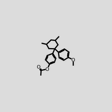 COc1ccc(C2(c3ccc(OC(C)=O)cc3)CC(C)CC(C)C2)cc1